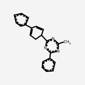 Cc1nc(-c2ccccc2)nc(C2C=CC(c3ccccc3)=CC2)n1